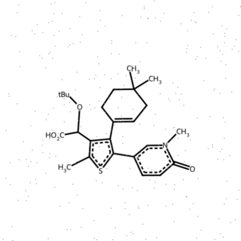 Cc1sc(-c2ccc(=O)n(C)c2)c(C2=CCC(C)(C)CC2)c1C(OC(C)(C)C)C(=O)O